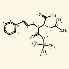 CC(C)C[C@@H](C(=O)O)[C@H](CC=Cc1ccccc1)C(=O)OC(C)(C)C